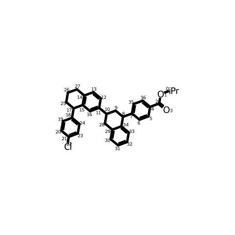 CC(C)OC(=O)c1ccc(C2CC(c3ccc4c(c3)C(c3ccc(Cl)cc3)CCC4)Cc3ccccc32)cc1